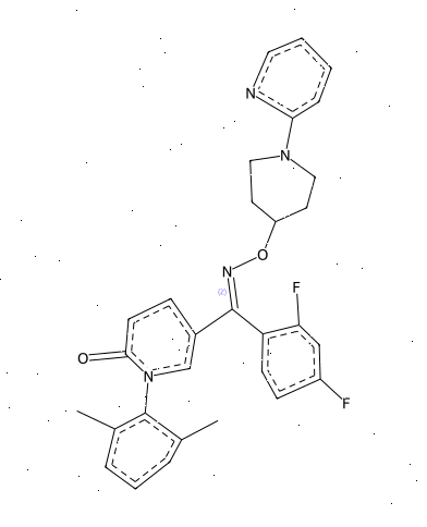 Cc1cccc(C)c1-n1cc(/C(=N/OC2CCN(c3ccccn3)CC2)c2ccc(F)cc2F)ccc1=O